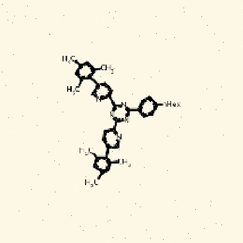 CCCCCCc1ccc(-c2nc(-c3ccc(-c4c(C)cc(C)cc4C)cn3)nc(-c3ccc(-c4c(C)cc(C)cc4C)cn3)n2)cc1